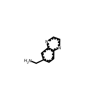 NCc1ccc2nccnc2c1